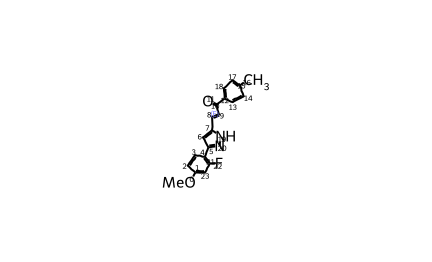 COc1ccc(-c2cc(/C=C/C(=O)c3ccc(C)cc3)[nH]n2)c(F)c1